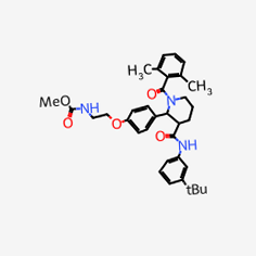 COC(=O)NCCOc1ccc(C2C(C(=O)Nc3cccc(C(C)(C)C)c3)CCCN2C(=O)c2c(C)cccc2C)cc1